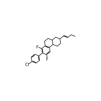 CC/C=C/C1CCC2c3cc(F)c(-c4ccc(Cl)cc4)c(F)c3CCC2C1